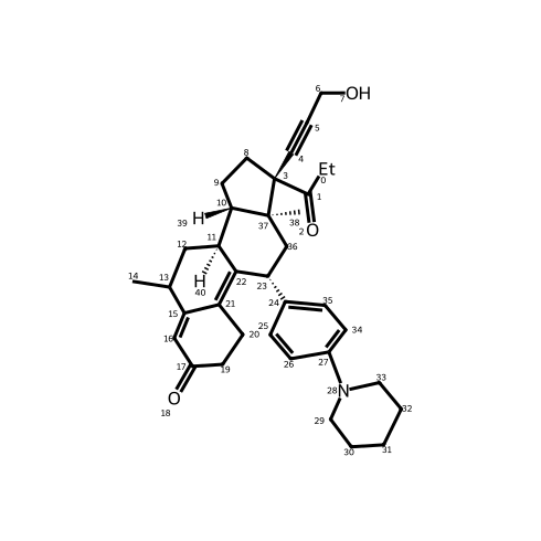 CCC(=O)[C@@]1(C#CCO)CC[C@H]2[C@@H]3CC(C)C4=CC(=O)CCC4=C3[C@@H](c3ccc(N4CCCCC4)cc3)C[C@@]21C